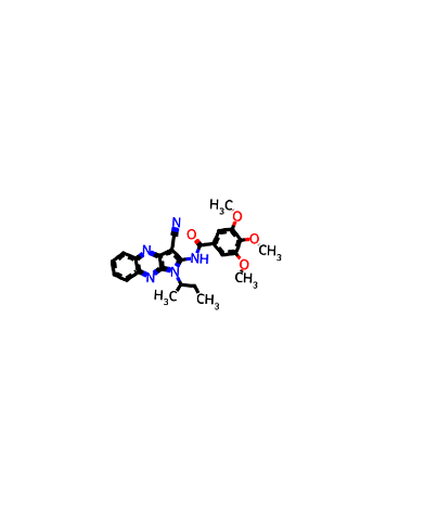 CCC(C)n1c(NC(=O)c2cc(OC)c(OC)c(OC)c2)c(C#N)c2nc3ccccc3nc21